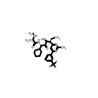 CC[C@H](C(=N)C(=O)[C@@H](NC(=O)[C@H](C)NC)C1CCCCC1)c1cc(-c2cccc(C(F)(F)F)c2)nc(C)n1